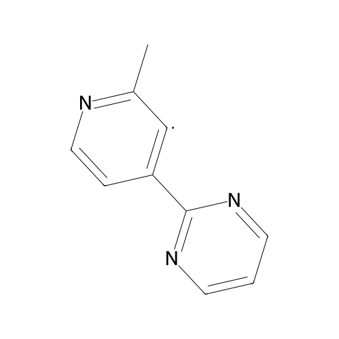 Cc1[c]c(-c2ncccn2)ccn1